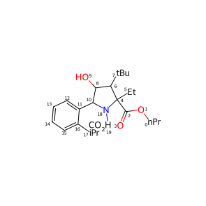 CCCOC(=O)C1(CC)C(C(C)(C)C)C(O)C(c2ccccc2C(C)C)N1C(=O)O